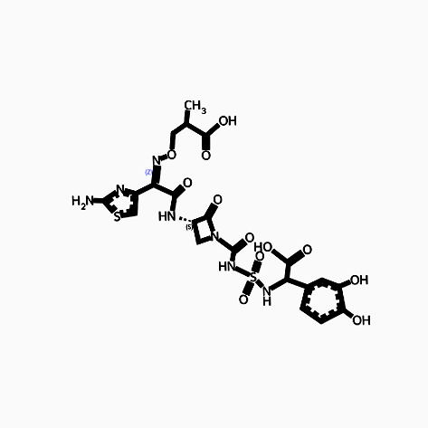 CC(CO/N=C(\C(=O)N[C@H]1CN(C(=O)NS(=O)(=O)NC(C(=O)O)c2ccc(O)c(O)c2)C1=O)c1csc(N)n1)C(=O)O